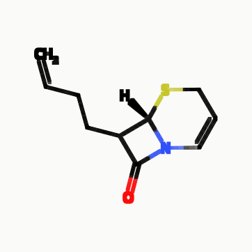 C=CCCC1C(=O)N2C=CCS[C@@H]12